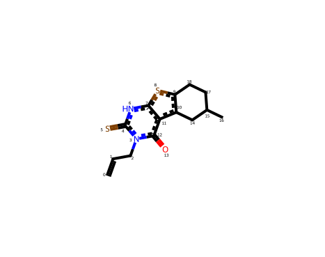 C=CCn1c(=S)[nH]c2sc3c(c2c1=O)CC(C)CC3